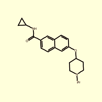 CC(C)N1CCC(Oc2ccc3cc(C(=O)NC4CC4)ccc3c2)CC1